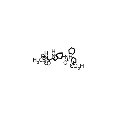 CS(=O)(=O)NC(=O)c1cc2cc(NC(=O)[C@@H]3[C@H](C4CCCCC4)CCN3C(=O)O)ccc2[nH]1